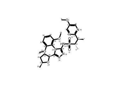 COc1cnc([C@@H](C)[C@H](C)S(=O)(=O)Nc2nnc([C@@H]3CC[C@H](C)O3)n2-c2c(OC)cccc2OC)nc1